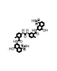 Cc1ccc(NC(=O)Nc2ccc(C)c(C(=O)Nc3cc(O)c4cccc(S(=O)(=O)O)c4c3)c2)cc1C(=O)Nc1cc(O)c2cccc(S(=O)(=O)O)c2c1